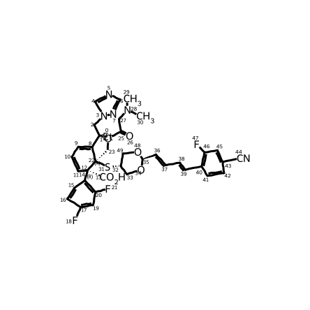 CCC(Cn1cncn1)C1=CC=C[C@](C(=O)O)(c2ccc(F)cc2F)[C@]1(COC(=O)CN(C)C)S[C@H]1CO[C@H](C=CC=Cc2ccc(C#N)cc2F)OC1